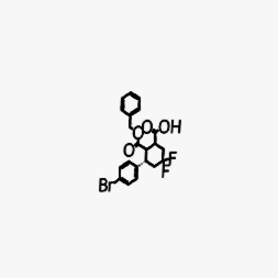 O=C(O)C1CC(F)(F)C[C@H](c2ccc(Br)cc2)C1C(=O)OCc1ccccc1